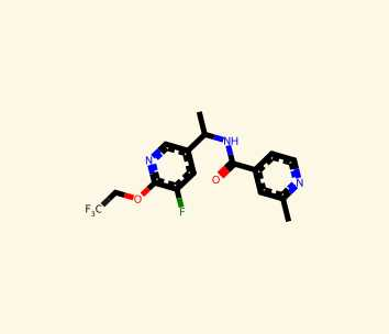 Cc1cc(C(=O)NC(C)c2cnc(OCC(F)(F)F)c(F)c2)ccn1